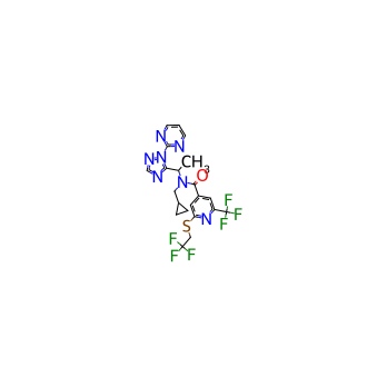 CC(c1ncnn1-c1ncccn1)N(CC1CC1)C(=O)c1cc(SCC(F)(F)F)nc(C(F)(F)F)c1